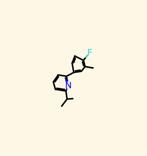 Cc1cc(-c2cccc(C(C)C)n2)ccc1F